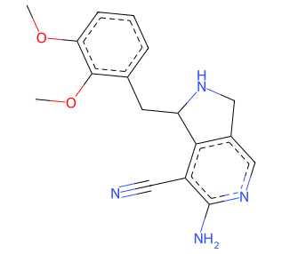 COc1cccc(CC2NCc3cnc(N)c(C#N)c32)c1OC